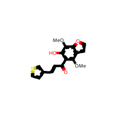 COc1c(C(=O)C=Cc2ccsc2)c(O)c(OC)c2occc12